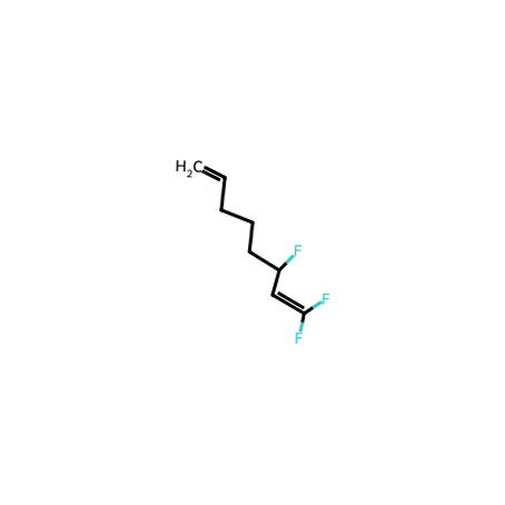 C=CCCCC(F)C=C(F)F